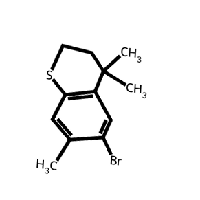 Cc1cc2c(cc1Br)C(C)(C)CCS2